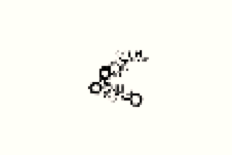 CCC(C)c1nc(SC)c(C(=O)O)n1Cc1ccc(-c2ccccc2S(=O)(=O)NC(=O)NCC2CCCCC2)cc1